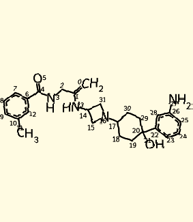 C=C(CNC(=O)c1cccc(C)c1)NC1CN(C2CCC(O)(c3cccc(N)c3)CC2)C1